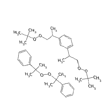 CC(C)(OOC(C)(C)c1ccccc1)c1ccccc1.CC(COOC(C)(C)C)c1cccc(C(C)COOC(C)(C)C)c1